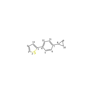 c1csc(-c2ccc(C3CC3)cc2)c1